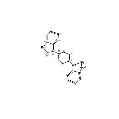 c1ccc2c(c1)NNN2N1CCN(N2NNc3ccccc32)CC1